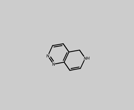 C1=Cc2nnccc2CN1